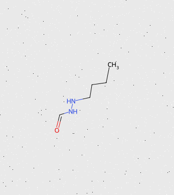 CCCCNNC=O